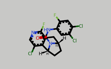 O=C(Nc1cc(Cl)c(Cl)cc1F)N1[C@H]2CC[C@@H]1c1c(Cl)cnc(F)c1C2